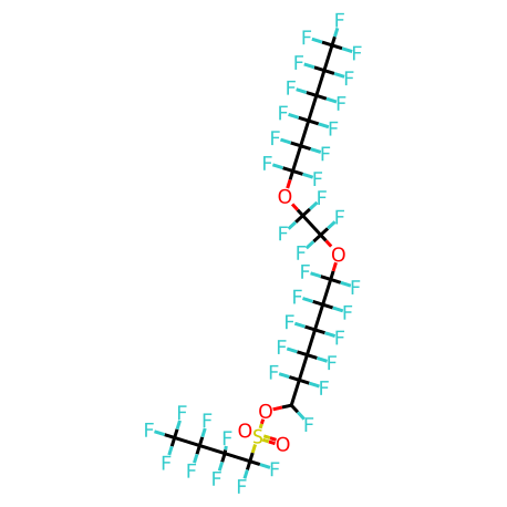 O=S(=O)(OC(F)C(F)(F)C(F)(F)C(F)(F)C(F)(F)C(F)(F)OC(F)(F)C(F)(F)OC(F)(F)C(F)(F)C(F)(F)C(F)(F)C(F)(F)C(F)(F)F)C(F)(F)C(F)(F)C(F)(F)C(F)(F)F